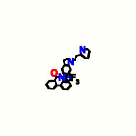 O=C(Nc1ccc2c(c1)CCN2CCc1ccccn1)c1ccccc1-c1cccc(C(F)(F)F)c1